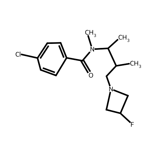 CC(CN1CC(F)C1)C(C)N(C)C(=O)c1ccc(Cl)cc1